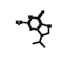 CC(C)N1CNc2c1nc(N)[nH]c2=O